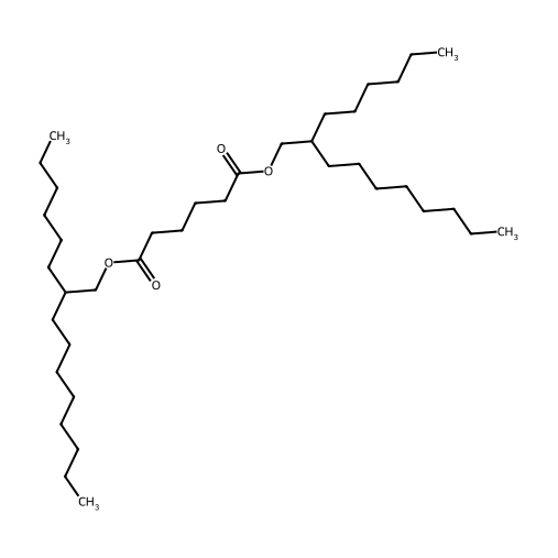 CCCCCCCCC(CCCCCC)COC(=O)CCCCC(=O)OCC(CCCCCC)CCCCCCCC